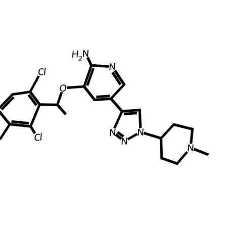 CC(Oc1cc(-c2cn(C3CCN(C)CC3)nn2)cnc1N)c1c(Cl)ccc(F)c1Cl